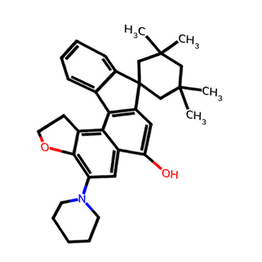 CC1(C)CC(C)(C)CC2(C1)c1ccccc1-c1c2cc(O)c2cc(N3CCCCC3)c3c(c12)CCO3